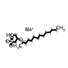 CCCCCCCCCCCCC(C)OC(CO)CS(=O)(=O)[O-].[Na+]